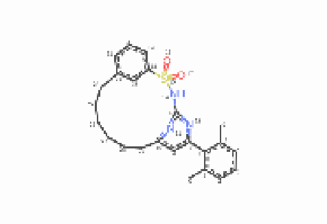 Cc1cccc(C)c1-c1cc2nc(n1)NS(=O)(=O)c1cccc(c1)CCCCCC2